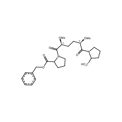 CO[C@@H](CC[C@@H](OC)C(=O)N1CCCC1C(=O)O)C(=O)N1CCCC1C(=O)OCc1ccccc1